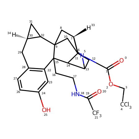 O=C(OCC(Cl)(Cl)Cl)N1C[C@H]2CC34CC25CC1C5C3(CCNC(=O)C(F)(F)F)c1cc(O)ccc1C[C@H]1CC14